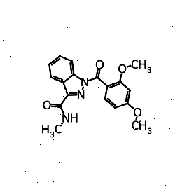 CNC(=O)c1nn(C(=O)c2ccc(OC)cc2OC)c2ccccc12